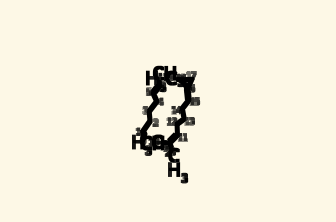 C=CCCCC=CC.CC(C)=CCCCC=C1CC1C